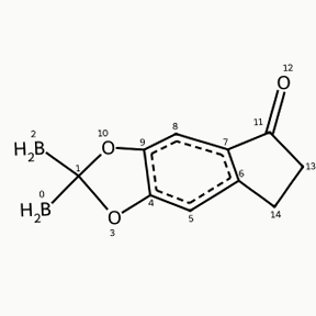 BC1(B)Oc2cc3c(cc2O1)C(=O)CC3